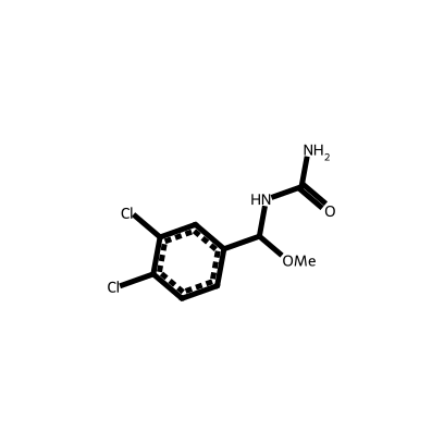 COC(NC(N)=O)c1ccc(Cl)c(Cl)c1